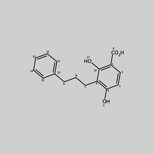 O=C(O)c1ccc(O)c(CCCc2ccccc2)c1O